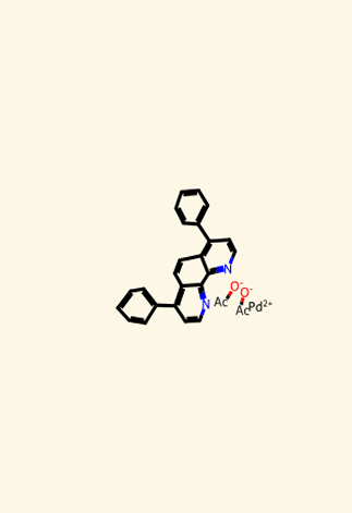 CC(=O)[O-].CC(=O)[O-].[Pd+2].c1ccc(-c2ccnc3c2ccc2c(-c4ccccc4)ccnc23)cc1